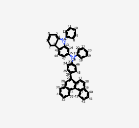 C1=CCC2C(=C1)N(c1ccccc1)c1cc(N(c3ccccc3)c3ccc(-c4cc5ccccc5c5c4ccc4ccccc45)cc3)ccc12